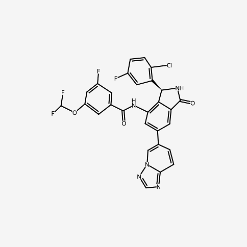 O=C(Nc1cc(-c2ccc3ncnn3c2)cc2c1[C@@H](c1cc(F)ccc1Cl)NC2=O)c1cc(F)cc(OC(F)F)c1